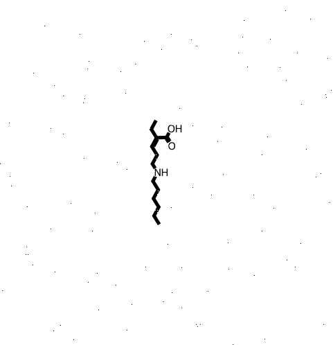 CCCCCCNCCC=C(CC)C(=O)O